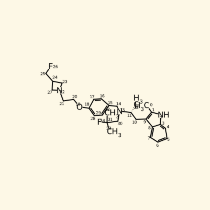 Cc1[nH]c2ccccc2c1C[C@@H](C)N(Cc1ccc(OCCN2CC(CF)C2)cc1)CC(C)(C)F